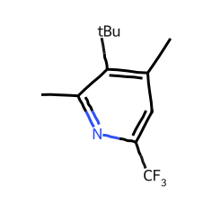 Cc1cc(C(F)(F)F)nc(C)c1C(C)(C)C